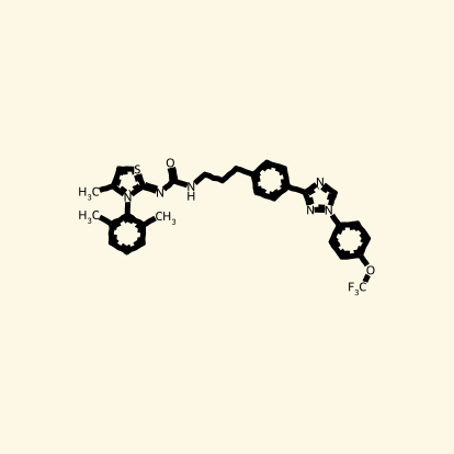 Cc1cccc(C)c1-n1c(C)cs/c1=N\C(=O)NCCCc1ccc(-c2ncn(-c3ccc(OC(F)(F)F)cc3)n2)cc1